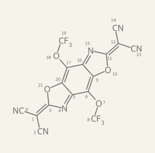 N#CC(C#N)=c1nc2c(OC(F)(F)F)c3oc(=C(C#N)C#N)nc3c(OC(F)(F)F)c2o1